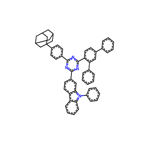 c1ccc(-c2ccc(-c3nc(-c4ccc(C56CC7CC(CC(C7)C5)C6)cc4)nc(-c4ccc5c6ccccc6n(-c6ccccc6)c5c4)n3)c(-c3ccccc3)c2)cc1